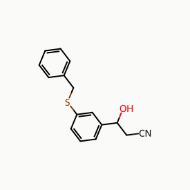 N#CCC(O)c1cccc(SCc2ccccc2)c1